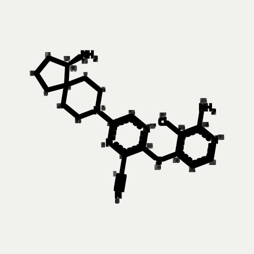 N#Cc1nc(N2CCC3(CCC[C@H]3N)CC2)cnc1Sc1ccnc(N)c1Cl